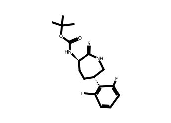 CC(C)(C)OC(=O)N[C@@H]1CC[C@@H](c2c(F)cccc2F)CNC1=S